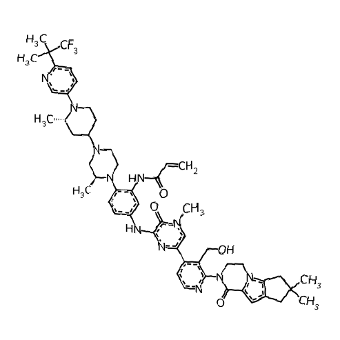 C=CC(=O)Nc1cc(Nc2nc(-c3ccnc(N4CCn5c(cc6c5CC(C)(C)C6)C4=O)c3CO)cn(C)c2=O)ccc1N1CCN(C2CCN(c3ccc(C(C)(C)C(F)(F)F)nc3)[C@@H](C)C2)C[C@@H]1C